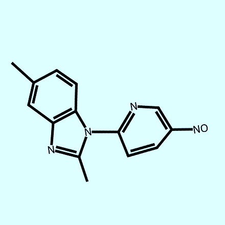 Cc1ccc2c(c1)nc(C)n2-c1ccc(N=O)cn1